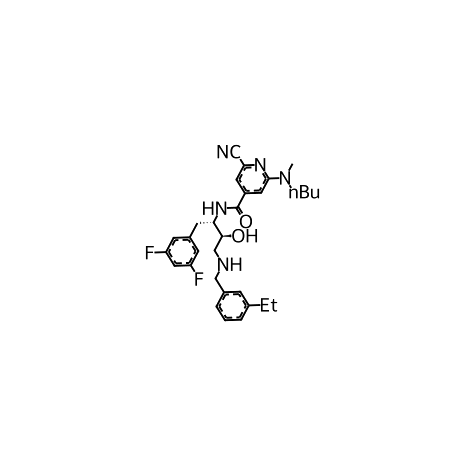 CCCCN(C)c1cc(C(=O)N[C@@H](Cc2cc(F)cc(F)c2)[C@@H](O)CNCc2cccc(CC)c2)cc(C#N)n1